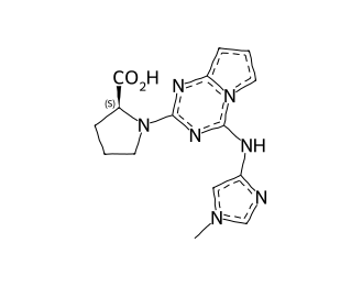 Cn1cnc(Nc2nc(N3CCC[C@H]3C(=O)O)nc3cccn23)c1